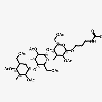 CC(=O)OCC1C[C@H](O[C@H]2C(COC(C)=O)O[C@@H](O[C@H]3C(C)C(OC(C)=O)[C@H](OCCCNC(=O)C(F)(F)F)O[C@H]3COC(C)=O)C(OC(C)=O)[C@H]2C)C(OC(C)=O)[C@@H](C)[C@H]1OC(C)=O